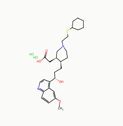 COc1ccc2nccc([C@@H](O)CC[C@@H]3CCN(CCSC4CCCCC4)C[C@@H]3CC(=O)O)c2c1.Cl.Cl